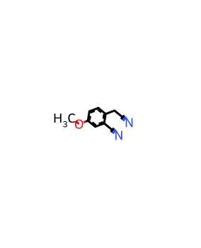 COc1ccc(CC#N)c(C#N)c1